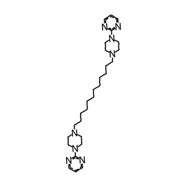 c1cnc(N2CCN(CCCCCCCCCCCCN3CCN(c4ncccn4)CC3)CC2)nc1